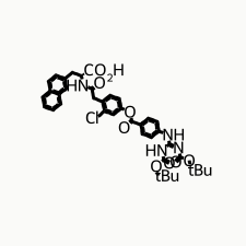 CC(C)(C)OC(=O)/N=C(\NC(=O)OC(C)(C)C)Nc1ccc(C(=O)Oc2ccc(CC(=O)N[C@@H](Cc3ccc4ccccc4c3)C(=O)O)c(Cl)c2)cc1